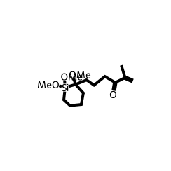 C=C(C)C(=O)CCCC1(OC)CCCC[Si]1(OC)OC